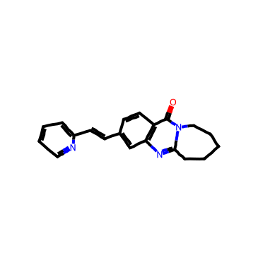 O=c1c2ccc(C=Cc3ccccn3)cc2nc2n1CCCCC2